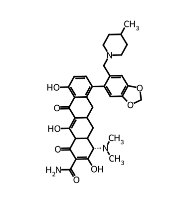 CC1CCN(Cc2cc3c(cc2-c2ccc(O)c4c2CC2CC5C(C(=O)C(C(N)=O)=C(O)[C@H]5N(C)C)C(O)=C2C4=O)OCO3)CC1